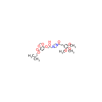 COc1cc(/C=C/C(=O)N2CCN(CC(O)COc3ccc(C(=O)OCCC(C)C)c4c3OCCO4)CC2)cc(OC)c1OC